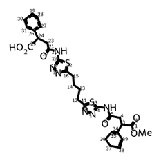 COC(=O)C(CC(=O)Nc1nnc(CCCCc2nnc(NC(=O)CC(C(=O)O)c3ccccc3)s2)s1)C1=CCCC=C1